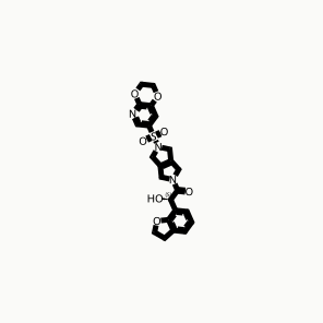 O=C([C@@H](O)c1cccc2c1OCC2)N1CC2=C(C1)CN(S(=O)(=O)c1cnc3c(c1)OCCO3)C2